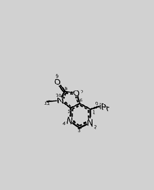 CC(C)c1ncnc2c1oc(=O)n2C